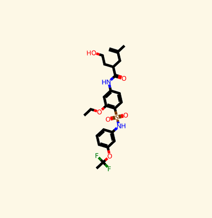 C=C(C)CC(CCO)C(=O)Nc1ccc(S(=O)(=O)Nc2cccc(OC(C)(F)F)c2)c(OCC)c1